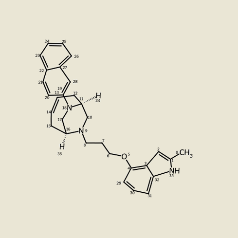 Cc1cc2c(OCCCN3C[C@@H]4C/C=C\C[C@H]3CN4c3ccc4ccccc4c3)cccc2[nH]1